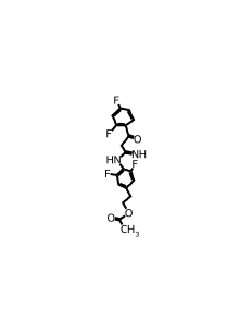 CC(=O)OCCc1cc(F)c(NC(=N)CC(=O)c2ccc(F)cc2F)c(F)c1